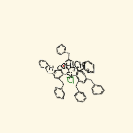 Cc1cc(Cc2ccccc2)cc(Cc2ccccc2)c1[Si](Cl)(c1c(C)cc(Cc2ccccc2)cc1Cc1ccccc1)c1c(C)cc(Cc2ccccc2)cc1Cc1ccccc1